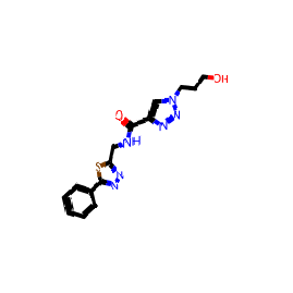 O=C(NCc1nnc(-c2ccccc2)s1)c1cn(CCCO)nn1